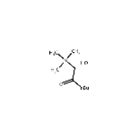 CCCCC(=O)C[N+](C)(C)C.[OH-]